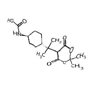 CC1(C)OC(=O)C(C(C)(C)[C@H]2CC[C@H](NC(=O)O)CC2)C(=O)O1